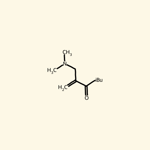 C=C(CN(C)C)C(=O)C(C)CC